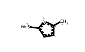 CSc1ccc(C)s1